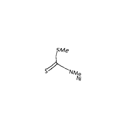 CNC(=S)SC.[Ni]